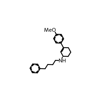 COc1ccc(C2=C[C@H](NCCCCc3ccccc3)CCC2)cc1